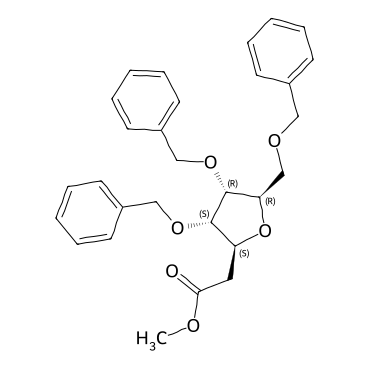 COC(=O)C[C@@H]1O[C@H](COCc2ccccc2)[C@@H](OCc2ccccc2)[C@H]1OCc1ccccc1